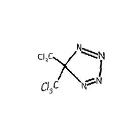 ClC(Cl)(Cl)C1(C(Cl)(Cl)Cl)N=NN=N1